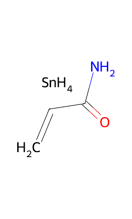 C=CC(N)=O.[SnH4]